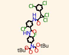 CC(C)(C)OC(=O)N(C(=O)OC(C)(C)C)c1ccc(NC(=O)c2cc(NC(=O)C3C(c4cc(Cl)cc(Cl)c4)C3(Cl)Cl)ccc2Cl)c(F)c1